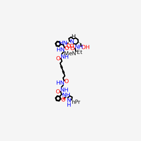 CCC[C@H]1CC[C@@H](C(=O)N[C@H](C(=O)NCCNC(=O)CCC#CC#CCCC(=O)NCCNC(=O)[C@@H](NC(=O)[C@@H]2CC[C@@H]3CC[C@H](CCO)[C@H](NC(=O)[C@H](CC)NC)C(=O)N32)c2ccccc2)c2ccccc2)N1